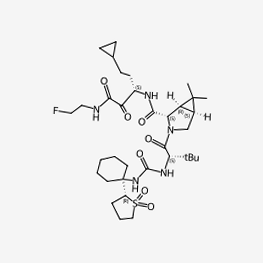 CC(C)(C)[C@H](NC(=O)NC1([C@H]2CCCS2(=O)=O)CCCCC1)C(=O)N1C[C@H]2[C@@H]([C@H]1C(=O)N[C@@H](CCC1CC1)C(=O)C(=O)NCCF)C2(C)C